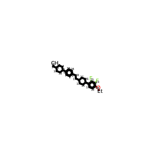 C=CC1CCC(c2ccc(CCC3CCC(c4ccc(OCC)c(F)c4F)CC3)cc2)CC1